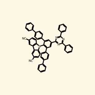 N#Cc1ccc2c(c1)c1cc(C#N)ccc1n2-c1c(-c2ccc(-c3ccccc3)cc2)cc(-c2nc(-c3ccccc3)nc(-c3ccccc3)n2)cc1-c1ccc(-c2ccccc2)cc1